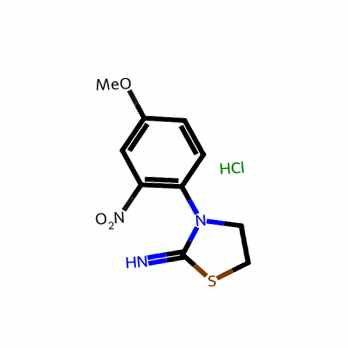 COc1ccc(N2CCSC2=N)c([N+](=O)[O-])c1.Cl